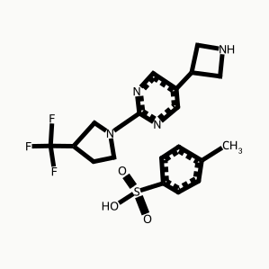 Cc1ccc(S(=O)(=O)O)cc1.FC(F)(F)C1CCN(c2ncc(C3CNC3)cn2)C1